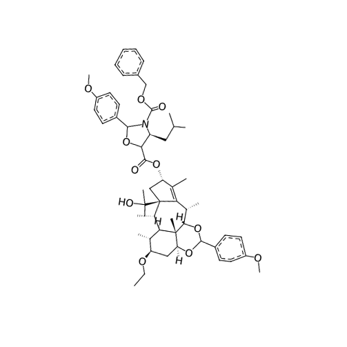 CCO[C@@H]1C[C@@H]2OC(c3ccc(OC)cc3)O[C@H]3[C@@H](C)C4=C(C)[C@@H](OC(=O)C5OC(c6ccc(OC)cc6)N(C(=O)OCc6ccccc6)[C@H]5CC(C)C)C[C@@]4(C(C)(C)O)[C@@H](C)[C@H]([C@H]1C)[C@@]23C